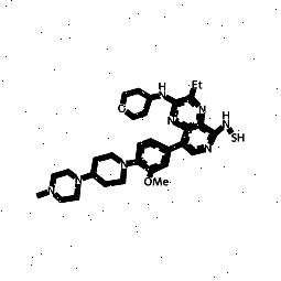 CCc1nc2c(NS)ncc(-c3ccc(N4CCC(N5CCN(C)CC5)CC4)c(OC)c3)c2nc1NC1CCOCC1